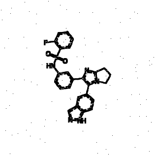 O=S(=O)(Nc1cccc(-c2nc3n(c2-c2ccc4[nH]ncc4c2)CCC3)c1)c1ccccc1F